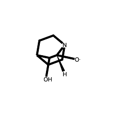 [O][C@@H]1C(O)C2CCN1CC2